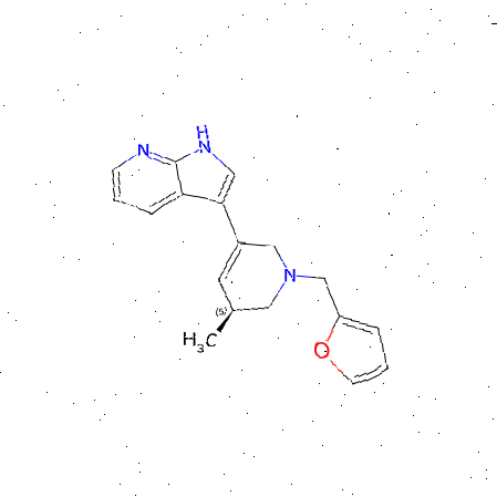 C[C@H]1C=C(c2c[nH]c3ncccc23)CN(Cc2ccco2)C1